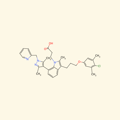 Cc1cc(OCCCc2c(C)n(CCC(=O)O)c3c(-c4c(C)nn(Cc5ccccn5)c4C)cccc23)cc(C)c1Cl